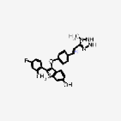 Cc1cc(F)ccc1-c1sc2cc(O)ccc2c1Oc1ccc(/C=C/C2=NNNN2C)cc1